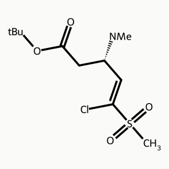 CN[C@H](/C=C(\Cl)S(C)(=O)=O)CC(=O)OC(C)(C)C